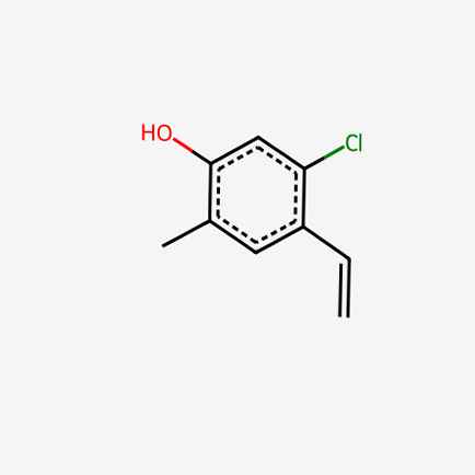 C=Cc1cc(C)c(O)cc1Cl